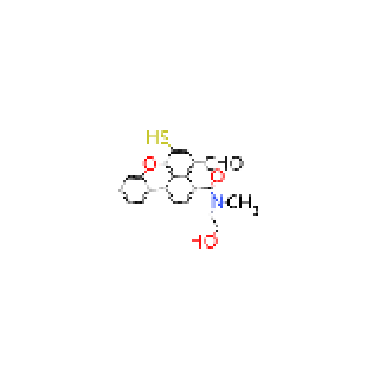 CN(CCO)C(=O)c1ccc2c3c(c(S)cc(C=O)c13)Oc1ccccc1-2